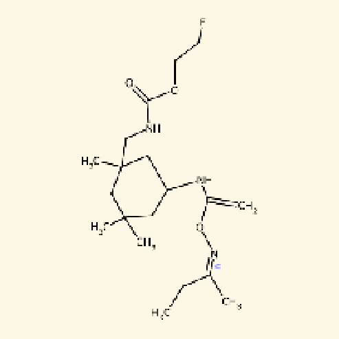 C=C(NC1CC(C)(C)CC(C)(CNC(=O)OCCF)C1)O/N=C(/C)CC